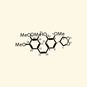 C1COOC1.COc1ccc(/C=C\c2cc(OC)c(OC)c(OC)c2)cc1O